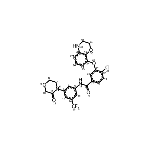 O=C(Nc1cc(N2CCOCC2=O)cc(C(F)(F)F)c1)c1ccc(Cl)c(Oc2ncnc3c2OCCN3)c1